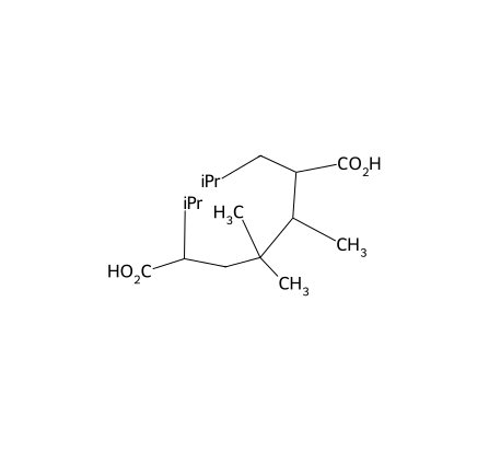 CC(C)CC(C(=O)O)C(C)C(C)(C)CC(C(=O)O)C(C)C